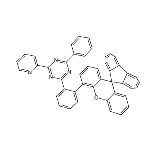 c1ccc(-c2nc(-c3ccccn3)nc(-c3ccccc3-c3cccc4c3Oc3ccccc3C43c4ccccc4-c4ccccc43)n2)cc1